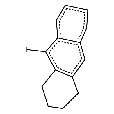 Ic1c2c(cc3ccccc13)CCCC2